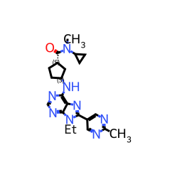 CCn1c(-c2cnc(C)nc2)nc2c(N[C@H]3CC[C@H](C(=O)N(C)C4CC4)C3)ncnc21